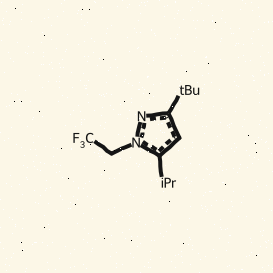 CC(C)c1cc(C(C)(C)C)nn1CC(F)(F)F